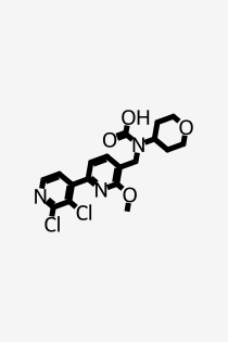 COc1nc(-c2ccnc(Cl)c2Cl)ccc1CN(C(=O)O)C1CCOCC1